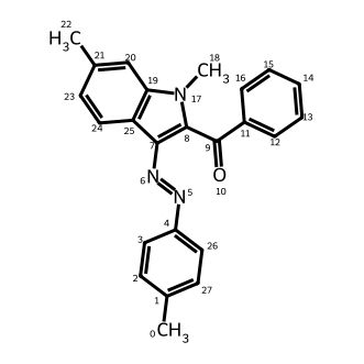 Cc1ccc(/N=N/c2c(C(=O)c3ccccc3)n(C)c3cc(C)ccc23)cc1